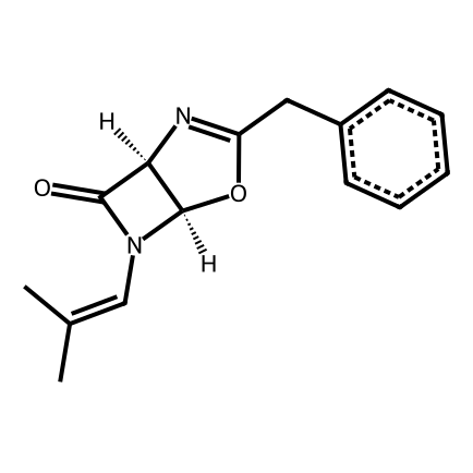 CC(C)=CN1C(=O)[C@H]2N=C(Cc3ccccc3)O[C@H]21